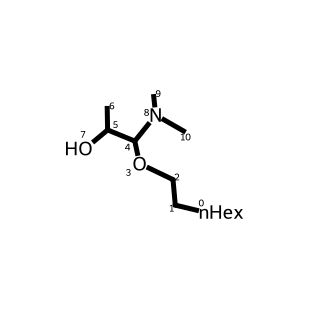 CCCCCCCCOC(C(C)O)N(C)C